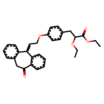 CCOC(=O)C(Cc1ccc(OC/C=C2/c3ccccc3CC(=O)c3ccccc32)cc1)OCC